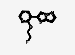 FCCOc1ncccc1-c1cn2nccc2s1